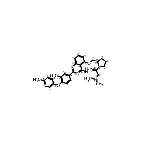 Cc1ccc(Oc2ccc(-c3nc(N)c4c(OC[C@H]5CCCN5C(=O)CN(C)C)cccc4n3)cc2C)cn1